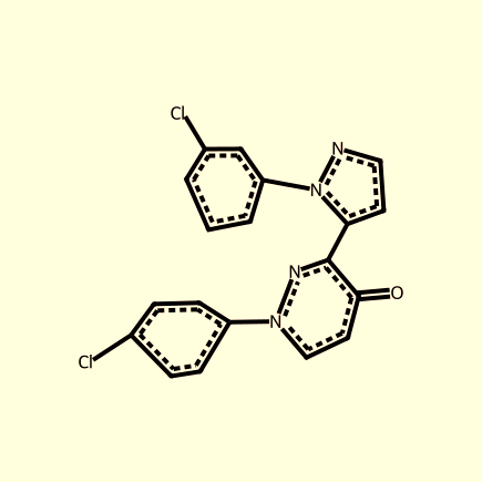 O=c1ccn(-c2ccc(Cl)cc2)nc1-c1ccnn1-c1cccc(Cl)c1